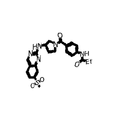 CCC(=O)Nc1ccc(C(=O)N2CCC(Nc3ncc4ccc(S(C)(=O)=O)cc4n3)C2)cc1